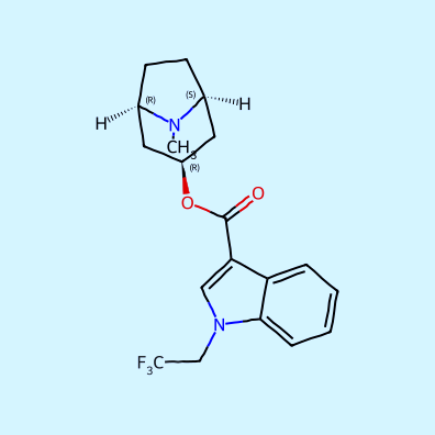 CN1[C@@H]2CC[C@H]1C[C@@H](OC(=O)c1cn(CC(F)(F)F)c3ccccc13)C2